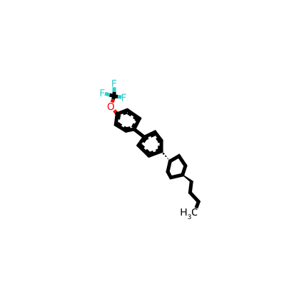 CCCC[C@H]1CC[C@H](c2ccc(-c3ccc(OC(F)(F)F)cc3)cc2)CC1